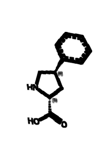 O=C(O)[C@H]1C[C@H](c2ccccc2)CN1